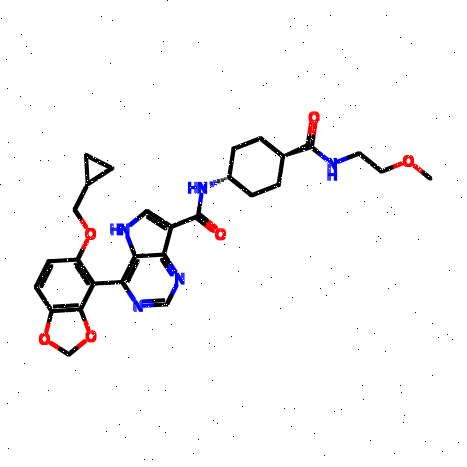 COCCNC(=O)[C@H]1CC[C@H](NC(=O)c2c[nH]c3c(-c4c(OCC5CC5)ccc5c4OCO5)ncnc23)CC1